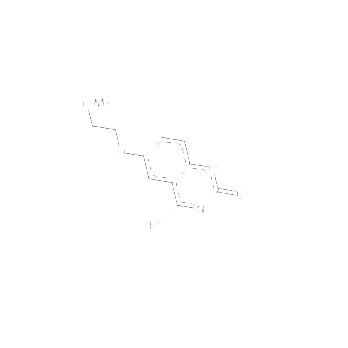 CCc1nc(=O)oc2ccc(OCCOC)cc12